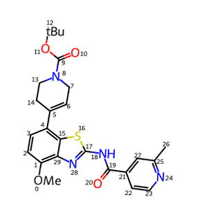 COc1ccc(C2=CCN(C(=O)OC(C)(C)C)CC2)c2sc(NC(=O)c3ccnc(C)c3)nc12